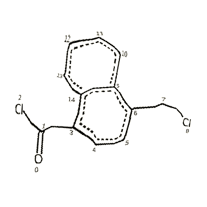 O=C(Cl)c1ccc(CCl)c2ccccc12